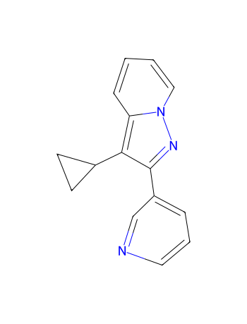 c1cncc(-c2nn3ccccc3c2C2CC2)c1